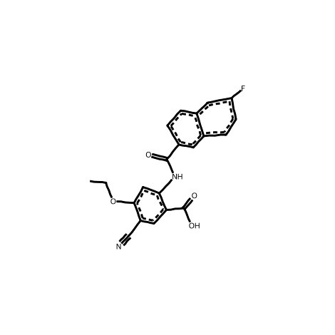 CCOc1cc(NC(=O)c2ccc3cc(F)ccc3c2)c(C(=O)O)cc1C#N